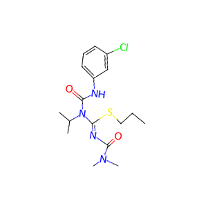 CCCSC(=NC(=O)N(C)C)N(C(=O)Nc1cccc(Cl)c1)C(C)C